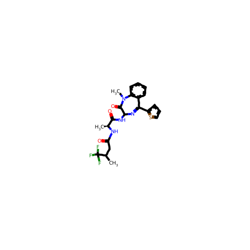 CC(CC(=O)N[C@@H](C)C(=O)NC1N=C(c2cccs2)c2ccccc2N(C)C1=O)C(F)(F)F